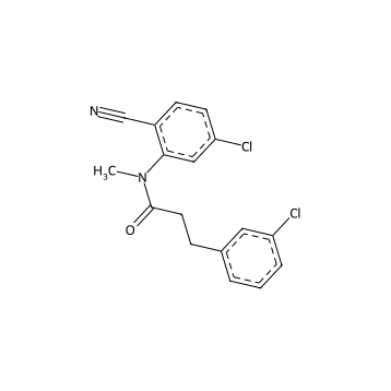 CN(C(=O)CCc1cccc(Cl)c1)c1cc(Cl)ccc1C#N